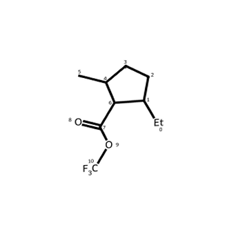 [CH2]CC1C[CH]C(C)C1C(=O)OC(F)(F)F